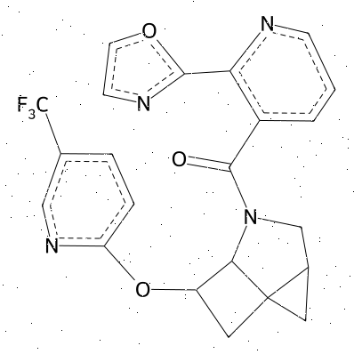 O=C(c1cccnc1-c1ncco1)N1CC2CC23CC(Oc2ccc(C(F)(F)F)cn2)C13